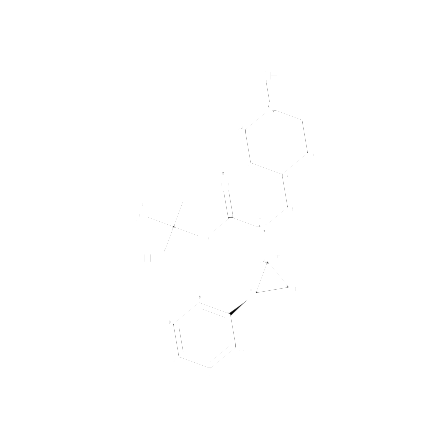 CN1CCC(CN(C(=O)OC(C)(C)C)[C@@H]2C[C@H]2c2ccccc2)CC1